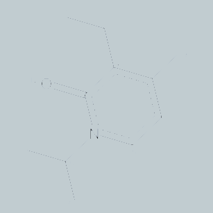 CCc1c(C)ccn(C(C)C)c1=O